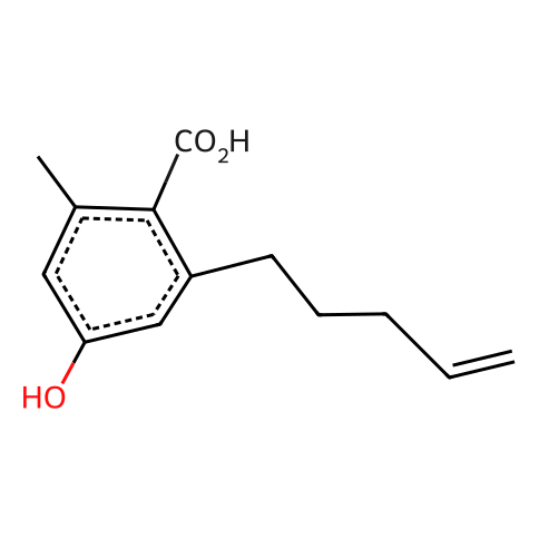 C=CCCCc1cc(O)cc(C)c1C(=O)O